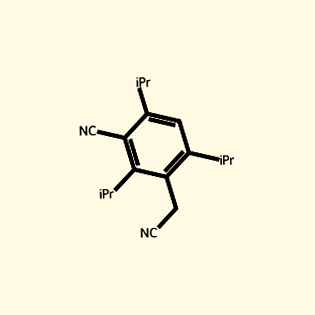 CC(C)c1cc(C(C)C)c(CC#N)c(C(C)C)c1C#N